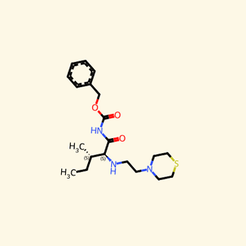 CC[C@H](C)[C@H](NCCN1CCSCC1)C(=O)NC(=O)OCc1ccccc1